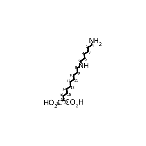 NCCCCCCNCCCCCCCCCC(C(=O)O)C(=O)O